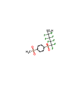 CS(=O)(=O)c1ccc(S(=O)(=O)C(F)(F)C(F)(F)C(F)(F)C(F)(F)S(=O)(=O)O)cc1